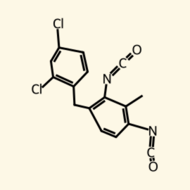 Cc1c(N=C=O)ccc(Cc2ccc(Cl)cc2Cl)c1N=C=O